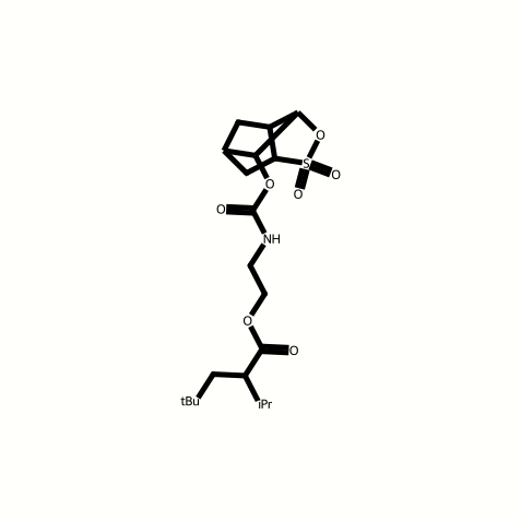 CC(C)C(CC(C)(C)C)C(=O)OCCNC(=O)OC1C2CC3C1OS(=O)(=O)C3C2